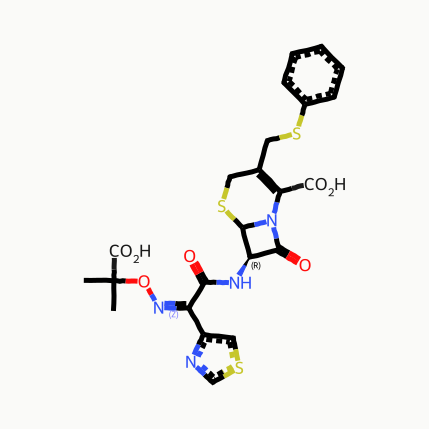 CC(C)(O/N=C(\C(=O)N[C@@H]1C(=O)N2C(C(=O)O)=C(CSc3ccccc3)CSC12)c1cscn1)C(=O)O